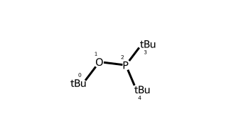 CC(C)(C)OP(C(C)(C)C)C(C)(C)C